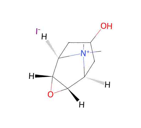 C[N+]1(C)[C@@H]2CC(O)C[C@H]1[C@@H]1O[C@@H]12.[I-]